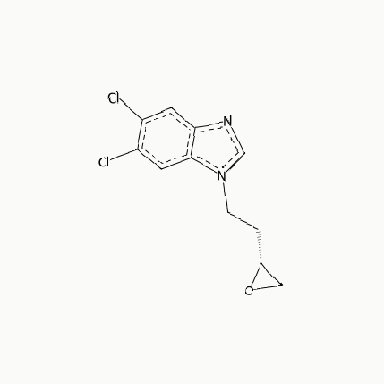 Clc1cc2ncn(CC[C@@H]3CO3)c2cc1Cl